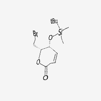 CC(C)(C)[Si](C)(C)O[C@@H]1C=CC(=O)O[C@@H]1CBr